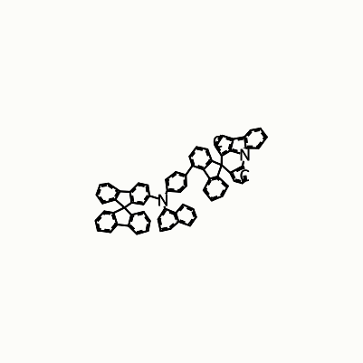 c1ccc2c(c1)-c1ccccc1C21c2ccccc2-c2ccc(N(c3ccc(-c4cccc5c4-c4ccccc4C54c5ccccc5-n5c6ccccc6c6cccc4c65)cc3)c3cccc4ccccc34)cc21